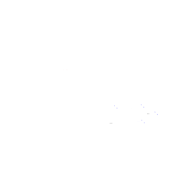 CCCCCCOCCCCCOc1cccc2c(NC(=N)NC=O)cc(-c3ccccc3C)nc12